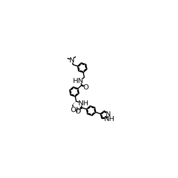 CN(C)Cc1cccc(CNC(=O)c2cccc([C@@H](CO)NC(=O)c3ccc(-c4cn[nH]c4)cc3)c2)c1